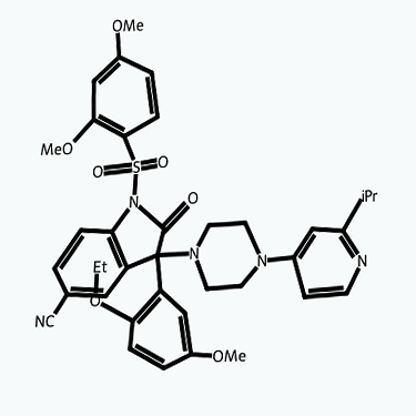 CCOc1ccc(OC)cc1C1(N2CCN(c3ccnc(C(C)C)c3)CC2)C(=O)N(S(=O)(=O)c2ccc(OC)cc2OC)c2ccc(C#N)cc21